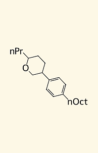 CCCCCCCCc1ccc(C2CCC(CCC)OC2)cc1